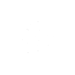 O=C1OCC(Cc2c(C(=O)O)cnc(C(=O)O)c2CC2COC(=O)O2)O1